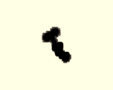 O=c1cc(COC2CCCCO2)occ1OCCCCCn1c(-c2ccccc2)cc2ccccc21